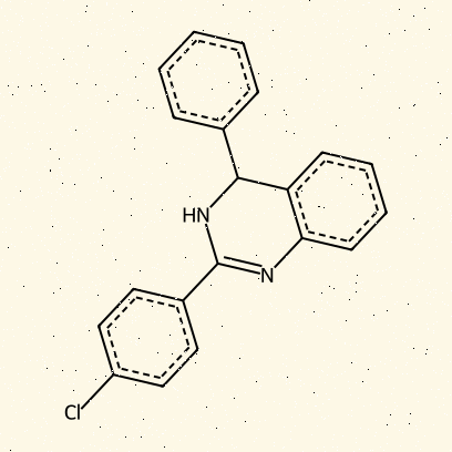 Clc1ccc(C2=Nc3ccccc3C(c3ccccc3)N2)cc1